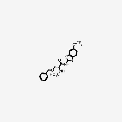 O=C(O)N[C@@H](COCc1ccccc1)C(=O)Nc1nc2ccc(OC(F)(F)F)cc2s1